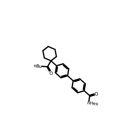 CCCCCCC(=O)c1ccc(-c2ccc(C3(C(=O)CCCC)CCCCC3)cc2)cc1